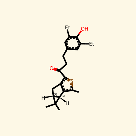 CCc1cc(CCC(=O)c2sc(C)c3c2C[C@@H]2[C@H]3C2(C)C)cc(CC)c1O